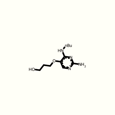 CCCCNc1nc(N)ncc1OCCCO